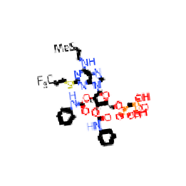 CSCCNc1nc(SCCC(F)(F)F)nc2c1ncn2[C@@H]1O[C@H](COP(=O)(O)CP(=O)(O)O)[C@@H](OC(=O)Nc2ccccc2)[C@H]1OC(=O)Nc1ccccc1